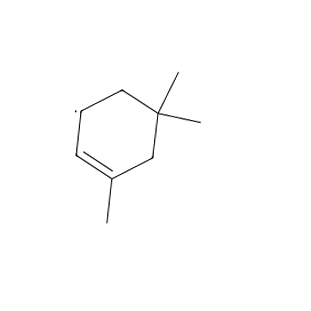 CC1=C[CH]CC(C)(C)C1